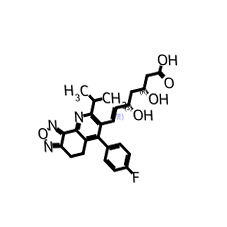 CC(C)c1nc2c(c(-c3ccc(F)cc3)c1/C=C/[C@@H](O)C[C@@H](O)CC(=O)O)CCc1nonc1-2